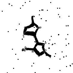 Cc1cnc(-c2nn(C)cc2[N+](=O)[O-])o1